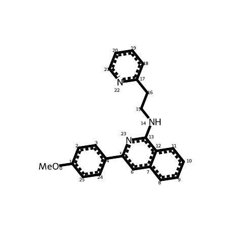 COc1ccc(-c2cc3ccccc3c(NCCc3ccccn3)n2)cc1